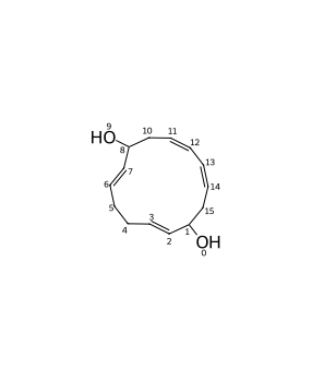 OC1/C=C/CC/C=C/C(O)C/C=C\C=C/C1